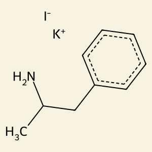 CC(N)Cc1ccccc1.[I-].[K+]